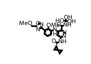 COCc1nc(-c2cccc(Nc3cc(NC(=O)[C@@H]4CC45CC5)nnc3C(=O)NC(O)(O)O)c2OC)no1